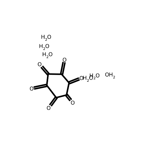 O.O.O.O.O.O.O=C1C(=O)C(=O)C(=O)C(=O)C1=O